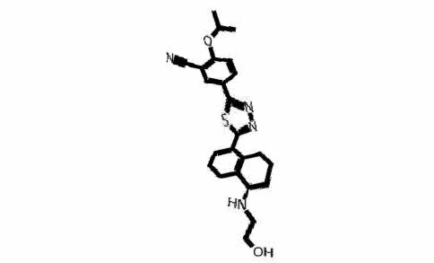 CC(C)Oc1ccc(-c2nnc(C3=CCCC4=C3CCC[C@H]4NCCO)s2)cc1C#N